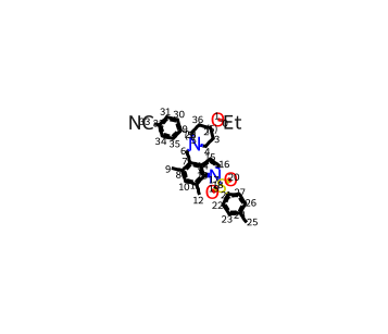 CCO[C@H]1CCN(Cc2c(C)cc(C)c3c2ccn3S(=O)(=O)c2ccc(C)cc2)[C@H](c2ccc(C#N)cc2)C1